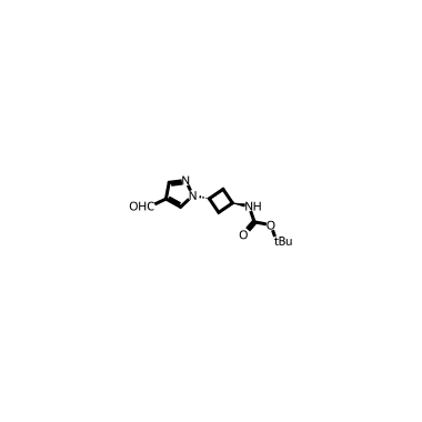 CC(C)(C)OC(=O)N[C@H]1C[C@H](n2cc(C=O)cn2)C1